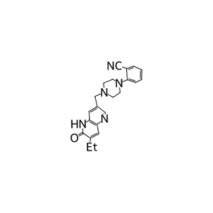 CCc1cc2ncc(CN3CCN(c4ccccc4C#N)CC3)cc2[nH]c1=O